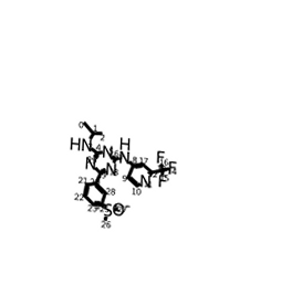 CC(C)Nc1nc(Nc2ccnc(C(F)(F)F)c2)nc(-c2cccc([S+](C)[O-])c2)n1